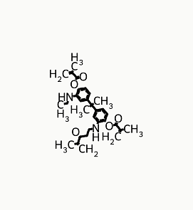 C=C(C)C(=O)CCNc1cc(C(C)(C)c2ccc(OC(=O)C(=C)C)c(NCC)c2)ccc1OC(=O)C(=C)C